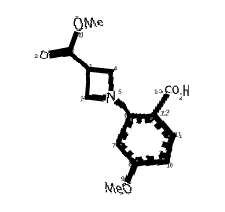 COC(=O)C1CN(c2cc(OC)ccc2C(=O)O)C1